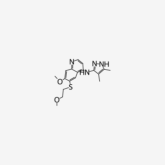 COCCSc1cc2c(Nc3n[nH]c(C)c3C)ccnc2cc1OC